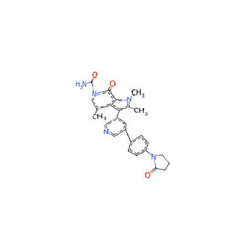 Cc1cn(C(N)=O)c(=O)c2c1c(-c1cncc(-c3ccc(N4CCCC4=O)cc3)c1)c(C)n2C